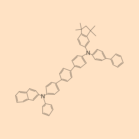 CC1(C)CC(C)(C)c2cc(N(c3ccc(-c4ccccc4)cc3)c3ccc(-c4ccc(-c5ccc(N(c6ccccc6)c6ccc7ccccc7c6)cc5)cc4)cc3)ccc21